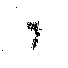 Cc1nc(NCc2cnn(CCc3ccc(C(F)(F)F)nc3)c2)nc2c1NC(=O)[C@H](C)N2C